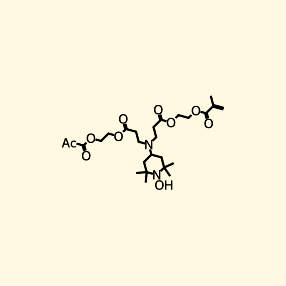 C=C(C)C(=O)OCCOC(=O)CCN(CCC(=O)OCCOC(=O)C(C)=O)C1CC(C)(C)N(O)C(C)(C)C1